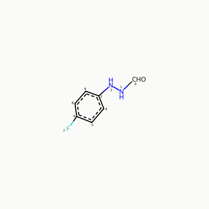 O=CNNc1ccc(F)cc1